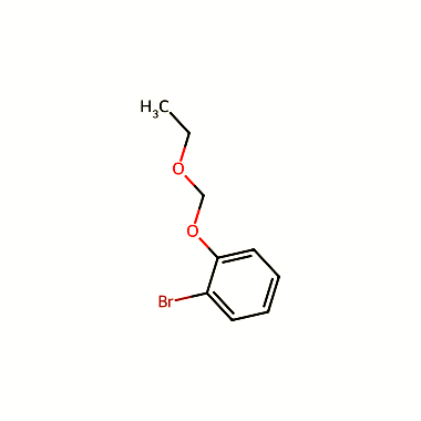 CCOCOc1ccccc1Br